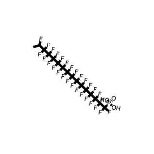 CC(F)C(F)(F)C(F)(F)C(F)(F)C(F)(F)C(F)(F)C(F)(F)C(F)(F)C(F)(F)C(F)(F)C(F)(F)C(F)(F)C(F)(F)C(F)(F)C(F)(F)P(=O)(O)O